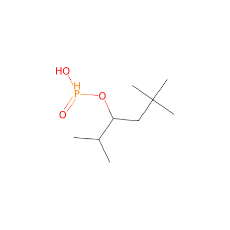 CC(C)C(CC(C)(C)C)O[PH](=O)O